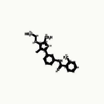 Cc1c(-c2cccc(NC(=O)c3ccccc3C(F)(F)F)c2)sc(C(=O)O)c1OCC(=O)O